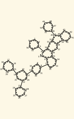 c1ccc(-c2nc3c(-c4ccc(-c5cc(-c6ccccn6)cc(-c6ccccn6)c5)cc4)cccc3c3cc4c5ccccc5n(-c5ccccc5)c4cc23)cc1